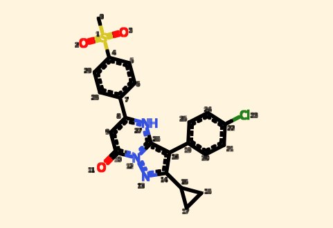 CS(=O)(=O)c1ccc(-c2cc(=O)n3nc(C4CC4)c(-c4ccc(Cl)cc4)c3[nH]2)cc1